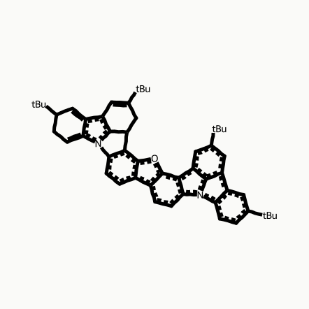 CC(C)(C)C1=Cc2c3n(c4c2=CC(C(C)(C)C)CC=4)-c2ccc4c(oc5c4ccc4c5c5cc(C(C)(C)C)cc6c7cc(C(C)(C)C)ccc7n4c65)c2C3C1